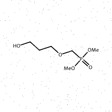 COP(=O)(COCCCO)OC